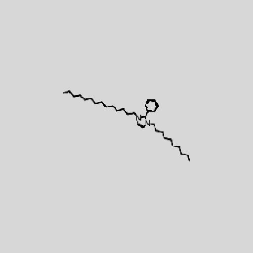 CCCCCCCCCCCCCCN1C=CN(CCCCCCCCCC)C1c1ccccc1